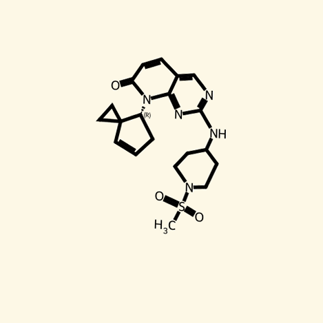 CS(=O)(=O)N1CCC(Nc2ncc3ccc(=O)n([C@@H]4CC=CC45CC5)c3n2)CC1